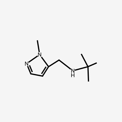 Cn1nccc1CNC(C)(C)C